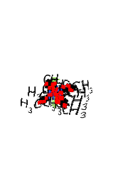 Cc1cc(C)c(-c2ccc3c(c2)c2cc(-c4c(C)cc(C)cc4C)ccc2n3-c2cc(C(F)(F)F)ccc2-c2ccc(C(F)(F)F)cc2-n2c3ccc(-c4c(C)cc(C)cc4C)cc3c3cc(-c4c(C)cc(C)cc4C)ccc32)c(C)c1